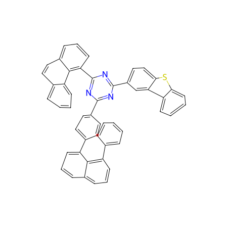 c1ccc(-c2cccc3cccc(-c4ccc(-c5nc(-c6ccc7sc8ccccc8c7c6)nc(-c6cccc7ccc8ccccc8c67)n5)cc4)c23)cc1